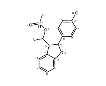 CC(O[PH](C)=O)N1c2ccccc2OC1c1ccc(Cl)cc1